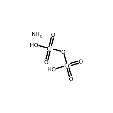 N.[O]=[Cr](=[O])([OH])[O][Cr](=[O])(=[O])[OH]